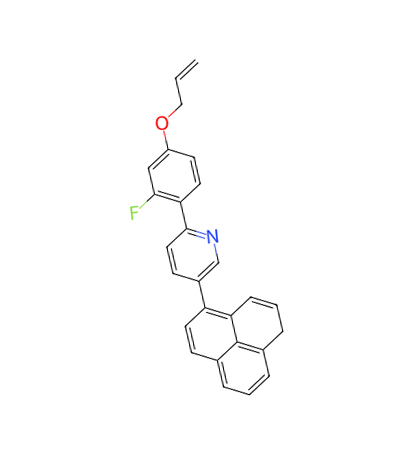 C=CCOc1ccc(-c2ccc(-c3ccc4cccc5c4c3C=CC5)cn2)c(F)c1